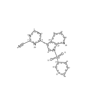 N#Cc1nccc(-c2cn(S(=O)(=O)c3ccccc3)c3ncccc23)n1